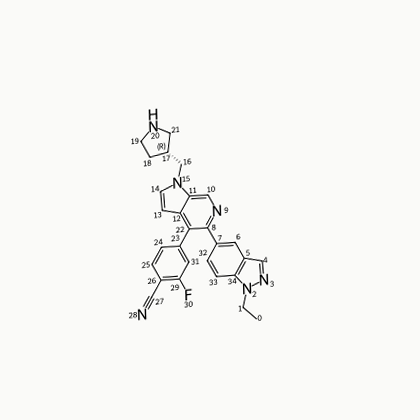 CCn1ncc2cc(-c3ncc4c(ccn4C[C@@H]4CCNC4)c3-c3ccc(C#N)c(F)c3)ccc21